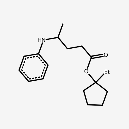 CCC1(OC(=O)CCC(C)Nc2ccccc2)CCCC1